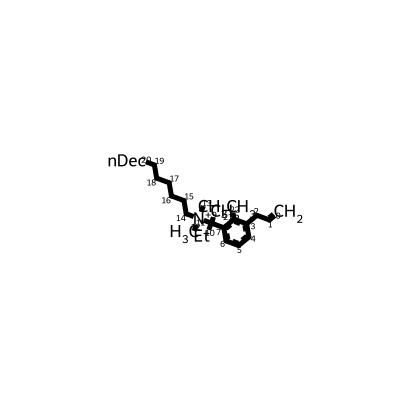 C=CCc1cccc(C(C)(CC)[N+](C)(C)CCCCCCCCCCCCCCCC)c1C